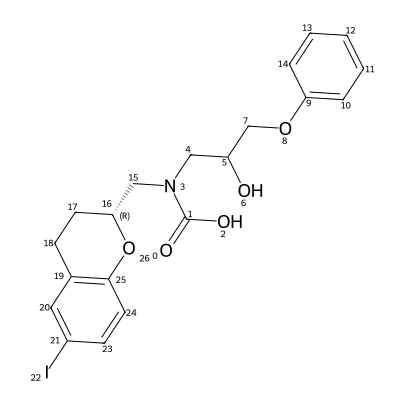 O=C(O)N(CC(O)COc1ccccc1)C[C@H]1CCc2cc(I)ccc2O1